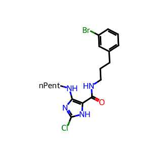 CCCCCNc1nc(Cl)[nH]c1C(=O)NCCCc1cccc(Br)c1